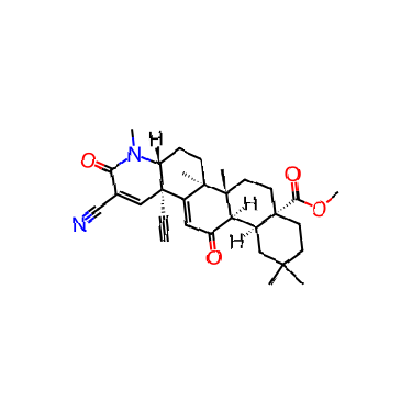 C#C[C@]12C=C(C#N)C(=O)N(C)[C@@H]1CC[C@]1(C)C2=CC(=O)[C@@H]2[C@@H]3CC(C)(C)CC[C@]3(C(=O)OC)CC[C@]21C